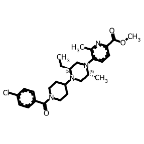 CC[C@H]1CN(c2ccc(C(=O)OC)nc2C)[C@H](C)CN1C1CCN(C(=O)c2ccc(Cl)cc2)CC1